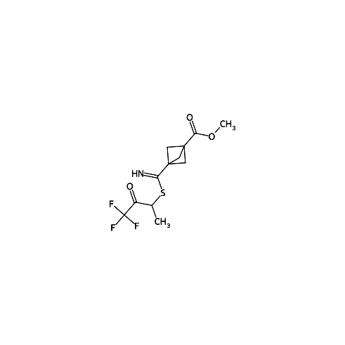 COC(=O)C12CC(C(=N)SC(C)C(=O)C(F)(F)F)(C1)C2